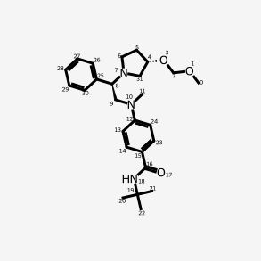 COCO[C@H]1CCN([C@@H](CN(C)c2ccc(C(=O)NC(C)(C)C)cc2)c2ccccc2)C1